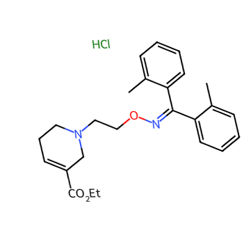 CCOC(=O)C1=CCCN(CCON=C(c2ccccc2C)c2ccccc2C)C1.Cl